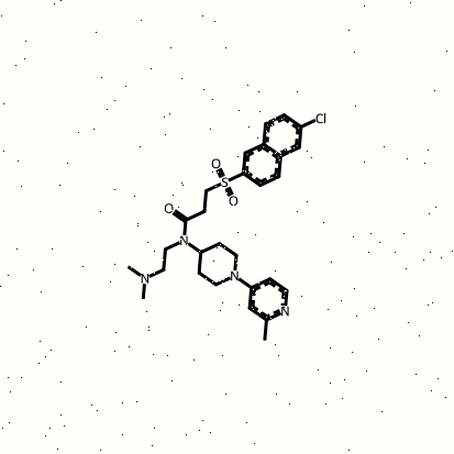 Cc1cc(N2CCC(N(CCN(C)C)C(=O)CCS(=O)(=O)c3ccc4cc(Cl)ccc4c3)CC2)ccn1